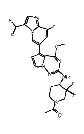 COc1nc(N[C@@H]2CCN(C(C)=O)CC2(F)F)nn2ccc(-c3cc(F)c4ncc(C(F)F)n4c3)c12